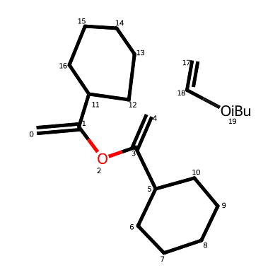 C=C(OC(=C)C1CCCCC1)C1CCCCC1.C=COCC(C)C